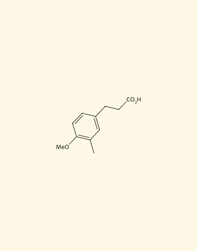 COc1ccc(CCC(=O)O)cc1C